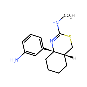 Nc1cccc([C@]23CCCC[C@H]2CSC(NC(=O)O)=N3)c1